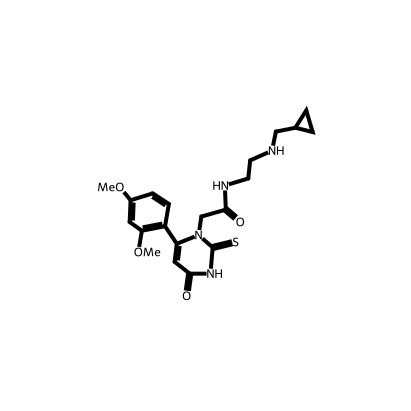 COc1ccc(-c2cc(=O)[nH]c(=S)n2CC(=O)NCCNCC2CC2)c(OC)c1